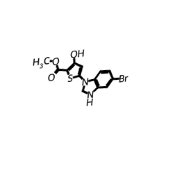 COC(=O)c1sc(N2CNc3cc(Br)ccc32)cc1O